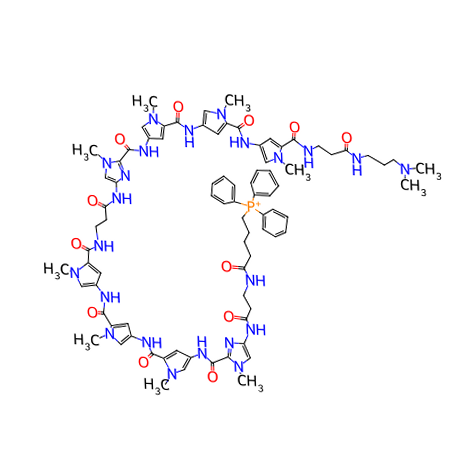 CN(C)CCCNC(=O)CCNC(=O)c1cc(NC(=O)c2cc(NC(=O)c3cc(NC(=O)c4nc(NC(=O)CCNC(=O)c5cc(NC(=O)c6cc(NC(=O)c7cc(NC(=O)c8nc(NC(=O)CCNC(=O)CCCC[P+](c9ccccc9)(c9ccccc9)c9ccccc9)cn8C)cn7C)cn6C)cn5C)cn4C)cn3C)cn2C)cn1C